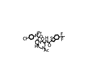 CC(=O)N1CC[C@H]2CC[C@@H](C(=O)N(c3ccc(Cl)cc3)C(C)C)N2C(=O)[C@@H](NC(=O)c2cc3cc(C(C)(F)F)ccc3s2)C1